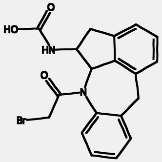 O=C(O)NC1Cc2cccc3c2C1N(C(=O)CBr)c1ccccc1C3